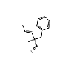 CC=CC(C)(C=O)Cc1ccccc1